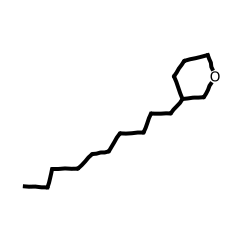 CCCCCCCCCCC1CCCOC1